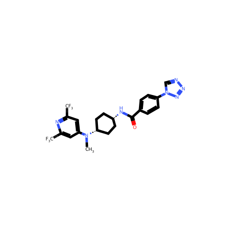 CN(c1cc(C(F)(F)F)nc(C(F)(F)F)c1)[C@H]1CC[C@@H](NC(=O)c2ccc(-n3cnnn3)cc2)CC1